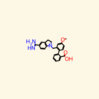 COc1ccc(-c2ccccc2C(=O)O)c(CN2CCc3cc(C(=N)N)ccc32)c1